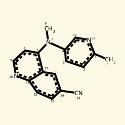 Cc1ccc(N(C)c2ccnc3ccc(C#N)cc23)cn1